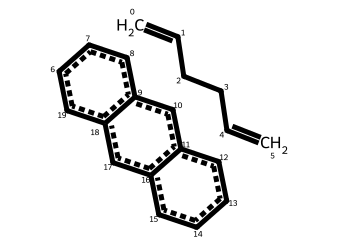 C=CCCC=C.c1ccc2cc3ccccc3cc2c1